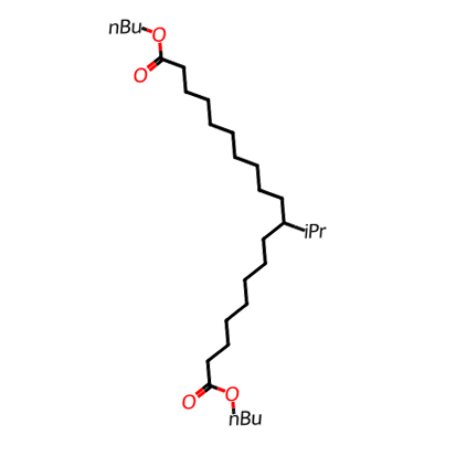 CCCCOC(=O)CCCCCCCCCC(CCCCCCCC(=O)OCCCC)C(C)C